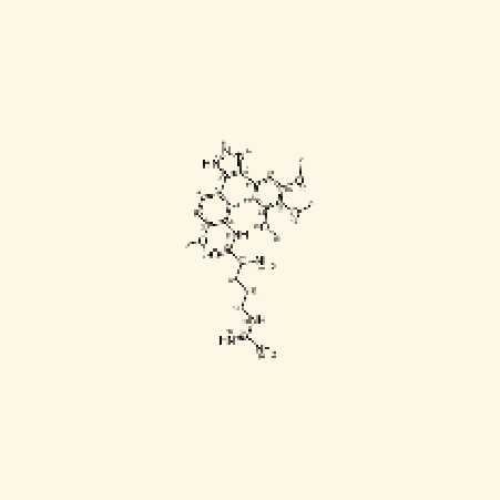 COc1ccc(-c2[nH]nnc2-c2cc(OC)c(OC)c(OC)c2)cc1NC(=O)C(N)CCCNC(=N)N